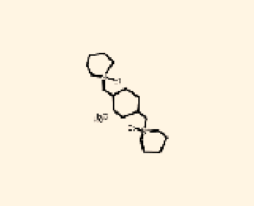 CC[N+]1(CC2CCC(C[N+]3(CC)CCCCC3)CC2)CCCCC1.[OH-].[OH-]